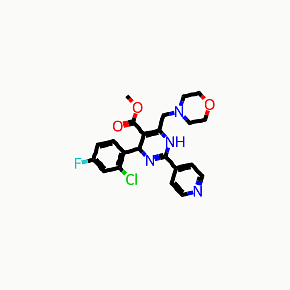 COC(=O)C1=C(CN2CCOCC2)NC(c2ccncc2)=NC1c1ccc(F)cc1Cl